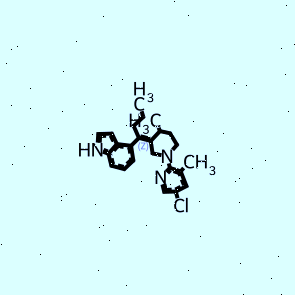 CCC/C(=C1/CN(c2ncc(Cl)cc2C)CCC1C)c1cccc2[nH]ccc12